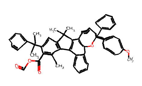 COc1ccc(C2(c3ccccc3)C=Cc3c4c(c5ccccc5c3O2)-c2c(cc(C(C)(C)c3ccccc3)c(C(=O)OC=O)c2C)C4(C)C)cc1